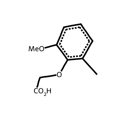 COc1cccc(C)c1OCC(=O)O